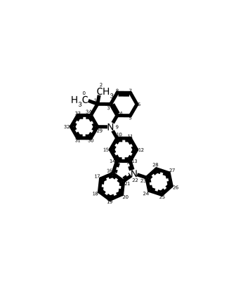 CC1(C)C2=C(CCC=C2)N(c2ccc3c(c2)c2ccccc2n3-c2ccccc2)c2ccccc21